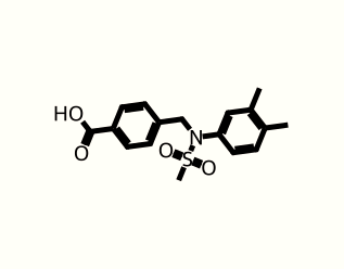 Cc1ccc(N(Cc2ccc(C(=O)O)cc2)S(C)(=O)=O)cc1C